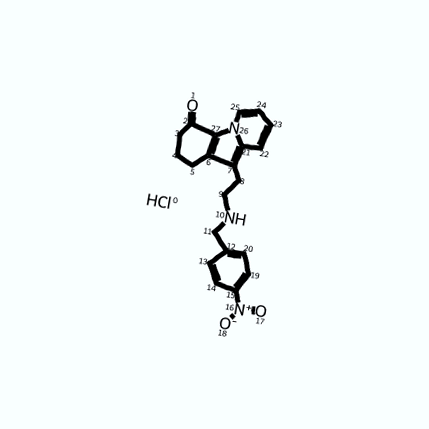 Cl.O=C1CCCc2c(CCNCc3ccc([N+](=O)[O-])cc3)c3ccccn3c21